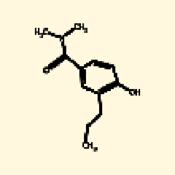 CCCc1cc(C(=O)N(C)C)ccc1O